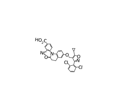 N#Cc1cc(C(=O)O)ccc1N1C(=O)CCc2cc(OCc3c(-c4c(Cl)cccc4Cl)noc3C3CC3)ccc21